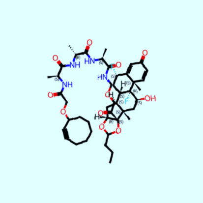 CCCC1O[C@@H]2C[C@H]3[C@@H]4C[C@H](F)C5=CC(=O)C=C[C@]5(C)[C@@]4(F)[C@@H](O)C[C@]3(C)[C@]2(C(=O)COCNC(=O)[C@H](C)NC(=O)[C@@H](C)NC(=O)[C@H](C)NC(=O)COC2C#CCCCCC2)O1